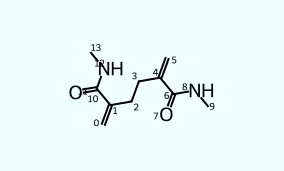 C=C(CCC(=C)C(=O)NC)C(=O)NC